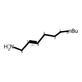 CCCCCCC/C=C/CN